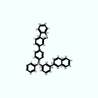 c1ccc(N(c2ccc(-c3ccc4c(c3)sc3ccccc34)cc2)c2cccc(-c3ccc4ccccc4c3)c2)cc1